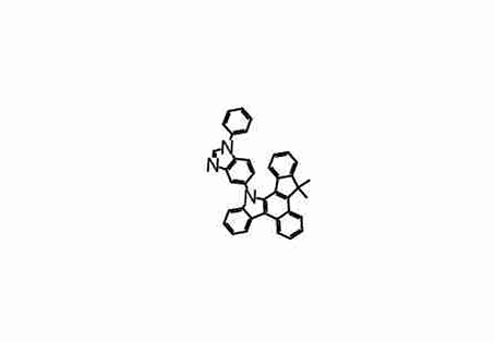 CC1(C)c2ccccc2-c2c1c1ccccc1c1c3ccccc3n(-c3ccc4c(c3)ncn4-c3ccccc3)c21